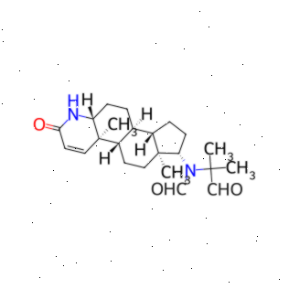 CC(C)(C=O)N(C=O)[C@H]1CC[C@H]2[C@@H]3CC[C@H]4NC(=O)C=C[C@]4(C)[C@H]3CC[C@]12C